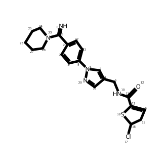 N=C(c1ccc(-n2cc(CNC(=O)C3=CCC(Cl)S3)cn2)cc1)N1CCCCC1